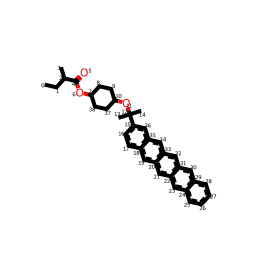 CCC(C)C(=O)OC1CCC(OC(C)(C)c2ccc3cc4cc5cc6ccccc6cc5cc4cc3c2)CC1